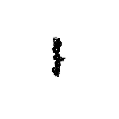 CC(F)C(=O)OC1CCC(c2ccc(C3CCC(OC(=O)C(C)F)CC3)c(Br)c2)CC1